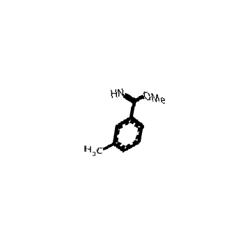 COC(=N)c1cccc(C)c1